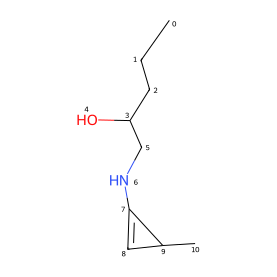 CCCC(O)CNC1=CC1C